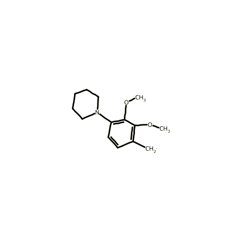 [CH2]c1ccc(N2CCCCC2)c(OC)c1OC